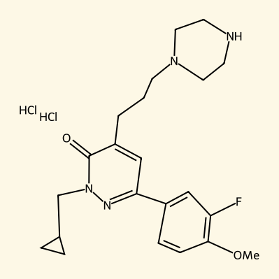 COc1ccc(-c2cc(CCCN3CCNCC3)c(=O)n(CC3CC3)n2)cc1F.Cl.Cl